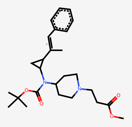 COC(=O)CCN1CCC(N(C(=O)OC(C)(C)C)C2CC2/C(C)=C/c2ccccc2)CC1